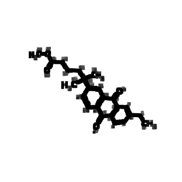 CCc1ccc2c(c1)C(=O)c1cc(C(C)(C)CCCC(=O)OC)ccc1C2=O